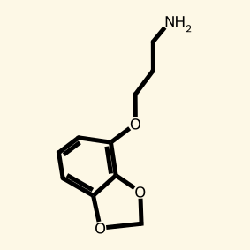 NCCCOc1cccc2c1OCO2